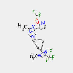 Cc1nc(-c2cccnc2OC(F)F)c2n1CCN(c1ccc(-c3nc(C(F)(F)F)cn3C)cc1)C2